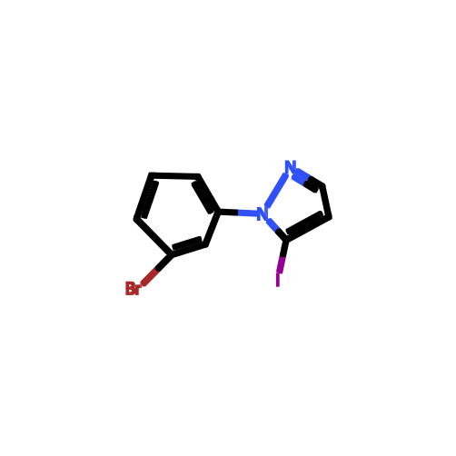 Brc1cccc(-n2nccc2I)c1